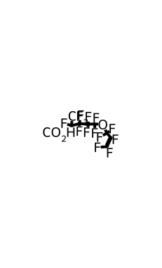 O=C(O)C(F)(C(F)(F)F)C(F)(F)C(F)(F)C(F)(F)OC(F)(F)C(F)=C(F)F